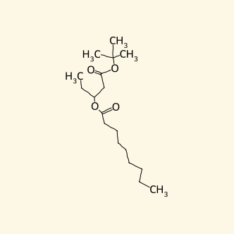 CCCCCCCCC(=O)OC(CC)CC(=O)OC(C)(C)C